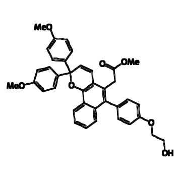 COC(=O)Cc1c2c(c3ccccc3c1-c1ccc(OCCO)cc1)OC(c1ccc(OC)cc1)(c1ccc(OC)cc1)C=C2